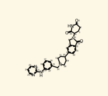 O=C1CCC(N2Cc3cc(C4CCN(Cc5cccc(Nc6ncccn6)c5)CC4)ccc3C2=O)C(=O)N1